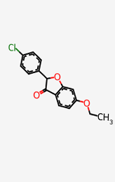 CCOc1ccc2c(c1)OC(c1ccc(Cl)cc1)C2=O